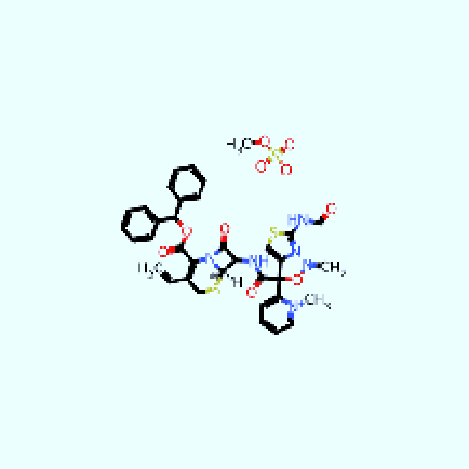 C=CC1=C(C(=O)OC(c2ccccc2)c2ccccc2)N2C(=O)C(NC(=O)C(ON=C)(c3csc(NC=O)n3)c3cccc[n+]3C)[C@H]2SC1.COS(=O)(=O)[O-]